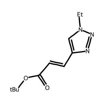 CCn1cc(/C=C/C(=O)OC(C)(C)C)nn1